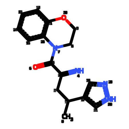 CC(CC(=N)C(=O)N1CCOc2ccccc21)c1cn[nH]c1